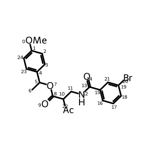 COc1ccc(C(C)OC(=O)C(CNC(=O)c2cccc(Br)c2)C(C)=O)cc1